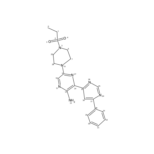 CCS(=O)(=O)N1CCN(c2cnc(N)c(-c3cc(-c4ccccc4)ncn3)n2)CC1